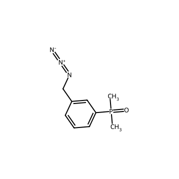 CP(C)(=O)c1cccc(CN=[N+]=[N-])c1